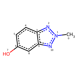 Cn1nc2ccc(O)cc2n1